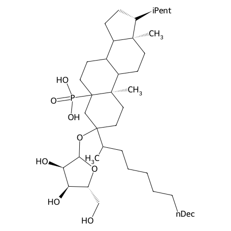 CCCCCCCCCCCCCCCC(C)C1(OC2O[C@H](CO)[C@@H](O)[C@H]2O)CC[C@]2(C)C3CC[C@@]4(C)C(CC[C@@H]4[C@H](C)CCC)C3CCC2(P(=O)(O)O)C1